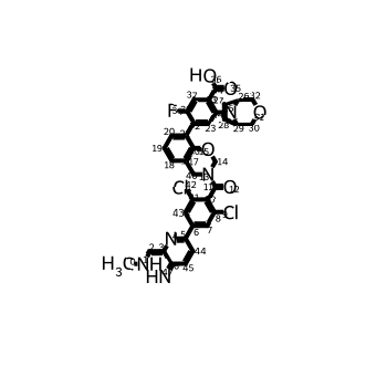 CN/C=C1/N=C(c2cc(Cl)c(C(=O)N3COc4c(cccc4-c4cc(N5C6CCC5COC6)c(C(=O)O)cc4F)C3)c(Cl)c2)C=CC1=N